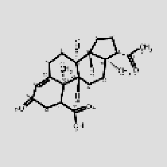 CC(=O)[C@H]1CC[C@H]2[C@@H]3CCC4=CC(=O)CC(C(=O)O)[C@]4(C)[C@H]3CC[C@]12C